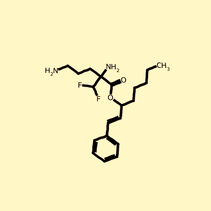 CCCCCC(C=Cc1ccccc1)OC(=O)C(N)(CCCN)C(F)F